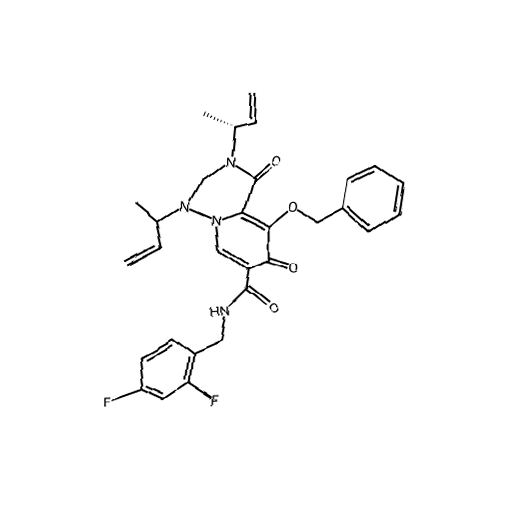 C=CC(C)N1CN([C@H](C)C=C)C(=O)c2c(OCc3ccccc3)c(=O)c(C(=O)NCc3ccc(F)cc3F)cn21